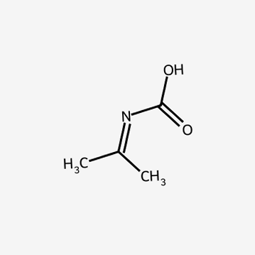 CC(C)=NC(=O)O